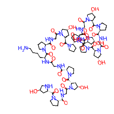 NCCCC[C@H](NC(=O)CNC(=O)[C@@H]1CCCN1C(=O)[C@@H]1C[C@@H](O)CN1C(=O)CNC(=O)[C@@H]1CCCN1C(=O)[C@@H]1C[C@@H](O)CN1)C(=O)N1CCC[C@H]1C(=O)NCC(=O)N1C[C@H](O)C[C@H]1C(=O)N1CCC[C@H]1C(=O)NCC(=O)N1C[C@H](O)C[C@H]1C(=O)N1CCC[C@H]1C(=O)NCC(=O)N1C[C@H](O)C[C@H]1C(=O)N1CCC[C@H]1C(=O)NCC(=O)N1C[C@H](O)C[C@H]1C(=O)N1CCC[C@H]1C(=O)O